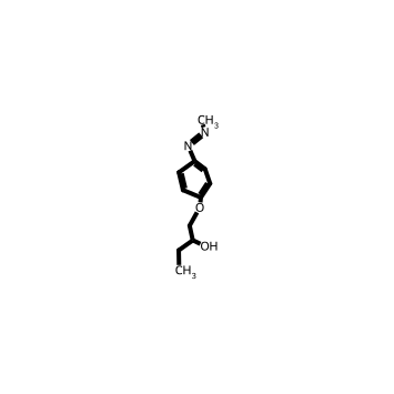 CCC(O)COc1ccc(N=NC)cc1